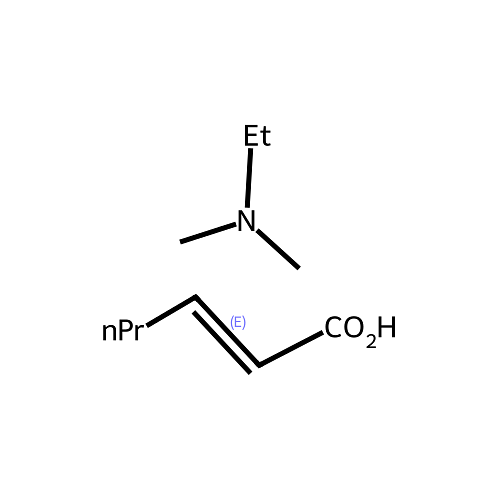 CCC/C=C/C(=O)O.CCN(C)C